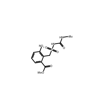 CCCCNC(=O)NS(=O)(=O)Cc1c(C(=O)OC)cccc1[N+](=O)[O-]